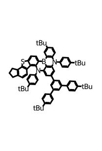 CC(C)(C)c1ccc(-c2cc(-c3ccc(C(C)(C)C)cc3)cc(-c3cc4c5c(c3)N(c3ccc(C(C)(C)C)cc3)c3c(ccc6sc7c8c(ccc7c36)CCC8)B5c3cc(C(C)(C)C)ccc3N4c3ccc(C(C)(C)C)cc3)c2)cc1